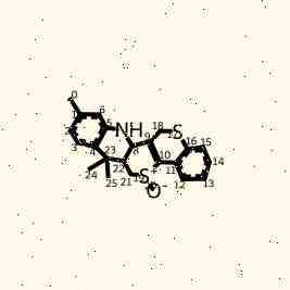 Cc1ccc2c(c1)NC1C3=C(c4ccccc4SC3)[S+]([O-])CC1C2(C)C